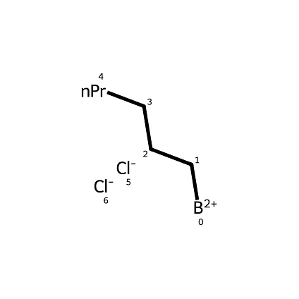 [B+2]CCCCCC.[Cl-].[Cl-]